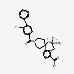 CC1(C)Cn2c(C(=O)C(F)(F)F)ccc2C2(CCN(C(=O)c3ccc(-c4ccccc4)c(O)c3)CC2)N1